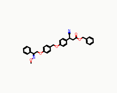 CON=C(COc1ccc(COc2ccc(C(C#N)CC(=O)OCc3ccccc3)cc2)cc1)c1ccccc1